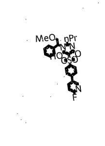 CCCc1nc(=O)c(S(=O)(=O)c2ccc(-c3ccc(F)nc3)cc2)c(O)n1C(COC)c1ccccc1